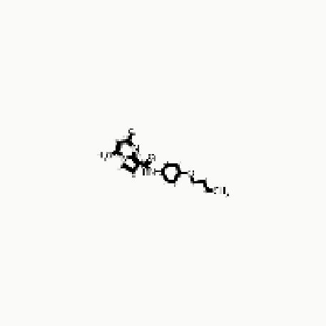 CCCCO[C@H]1CC[C@H](NC(=O)c2ccn3c(C)cc(Cl)nc23)CC1